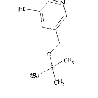 CCc1cncc(CO[Si](C)(C)C(C)(C)C)c1